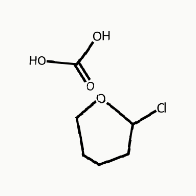 ClC1CCCCO1.O=C(O)O